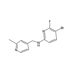 Cc1cc(CNc2ccc(Br)c(F)n2)ccn1